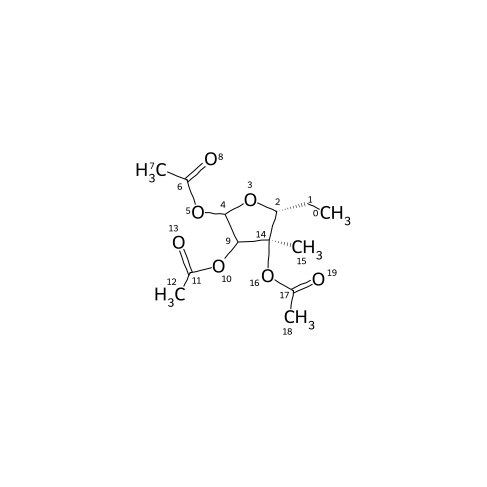 CC[C@H]1OC(OC(C)=O)C(OC(C)=O)[C@]1(C)OC(C)=O